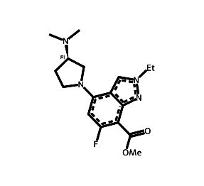 CCn1cc2c(N3CC[C@@H](N(C)C)C3)cc(F)c(C(=O)OC)c2n1